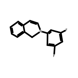 Fc1cc(F)cc(N2C=Cc3ccccc3C2)c1